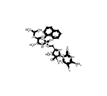 CC(C)OC(=O)[C@@H](C)NP(=O)(OC[C@H]1O[C@@H](n2cc(F)c(N)nc2=O)[C@](C)(Cl)[C@@H]1O)Oc1cccc2ccccc12